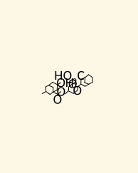 CC1CC2CC(O)CC(C(=O)OCC3COC(C4CC5CCCC(C(=O)O)(C5)C4)OC3)(C1)C2